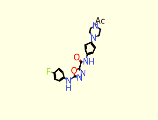 CC(=O)N1CCN(c2ccc(NC(=O)c3nnc(Nc4ccc(F)cc4)o3)cc2)CC1